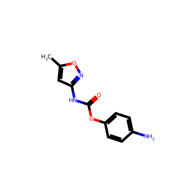 Cc1cc(NC(=O)Oc2ccc(N)cc2)no1